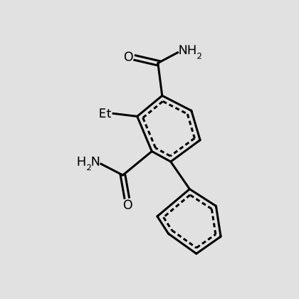 CCc1c(C(N)=O)ccc(-c2ccccc2)c1C(N)=O